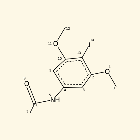 COc1cc(NC(C)=O)cc(OC)c1I